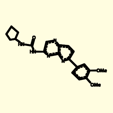 COc1ccc(-c2ccc3ncc(NC(=O)NC4CCCC4)nc3n2)cc1OC